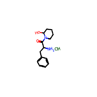 Cl.NC(Cc1ccccc1)C(=O)N1CCCCC1O